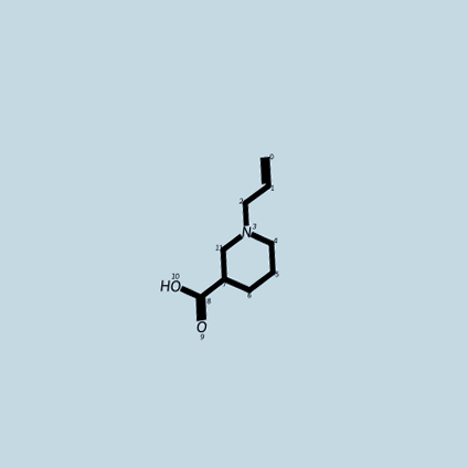 C=CCN1CCCC(C(=O)O)C1